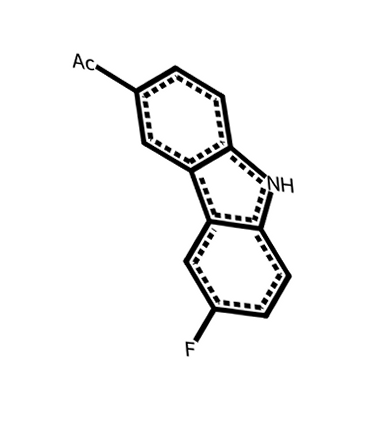 CC(=O)c1ccc2[nH]c3ccc(F)cc3c2c1